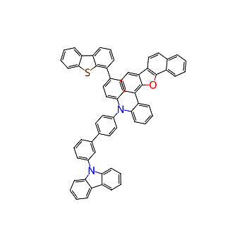 c1cc(-c2ccc(N(c3ccc(-c4cccc5c4sc4ccccc45)cc3)c3ccccc3-c3cccc4c3oc3c5ccccc5ccc43)cc2)cc(-n2c3ccccc3c3ccccc32)c1